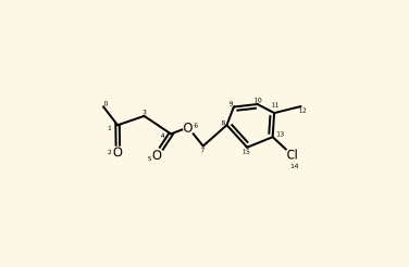 CC(=O)CC(=O)OCc1ccc(C)c(Cl)c1